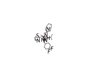 Cc1nnc(C(C)C)n1C1CC2CCC(C1)N2CC[C@H](NCC1CCC(F)(F)CC1)c1nccs1